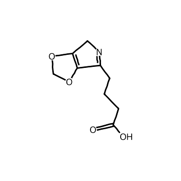 O=C(O)CCCC1=NCC2=C1OCO2